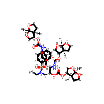 CC(C)CN(C[C@@H](OC(=O)O[C@H]1CO[C@H]2OCC[C@H]21)[C@H](Cc1ccccc1)NC(=O)O[C@H]1CO[C@H]2OCC[C@H]21)S(=O)(=O)c1ccc(NC(=O)O[C@@H]2CO[C@@H]3OCC[C@@H]32)cc1